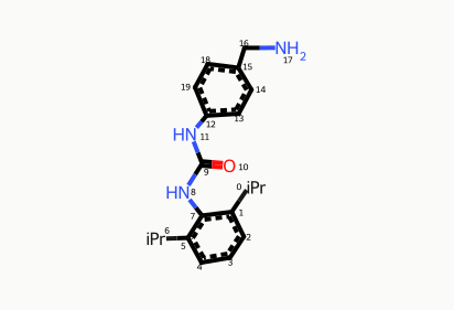 CC(C)c1cccc(C(C)C)c1NC(=O)Nc1ccc(CN)cc1